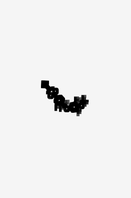 Fc1cc(C2OCC(C3CCC3)CO2)ccc1C(F)(F)Oc1cc(F)c(OC(F)(F)F)c(F)c1